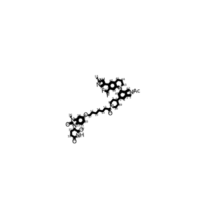 CC(=O)n1cc2cc(C3CCN(C(=O)CCCCCCOc4ccc5c(c4)n(C)c(=O)n5C4CCC(=O)NC4=O)CC3)cc(N3CCCc4cc(-c5cnn(C)c5)c(C(F)F)cc43)c2c1